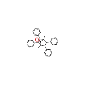 CC12C(=O)C(C)(C(c3ccccc3)C1c1ccccc1)C(c1ccccc1)C2c1ccccc1